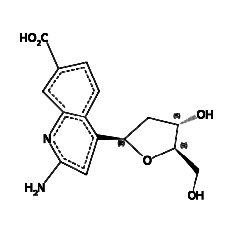 Nc1cc([C@H]2C[C@H](O)[C@@H](CO)O2)c2ccc(C(=O)O)cc2n1